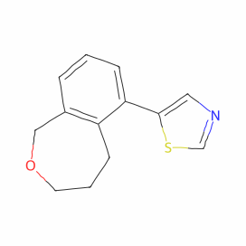 c1cc2c(c(-c3cncs3)c1)CCCOC2